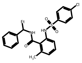 CCC(NC(=O)c1c(C)cccc1NS(=O)(=O)c1ccc(Cl)cc1)c1ccccc1